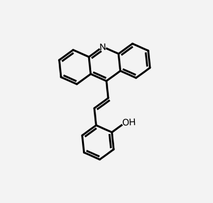 Oc1ccccc1C=Cc1c2ccccc2nc2ccccc12